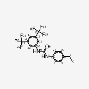 CCc1ccc(NC(=O)Nc2cc(C(F)(F)F)cc(C(F)(F)F)c2)cc1